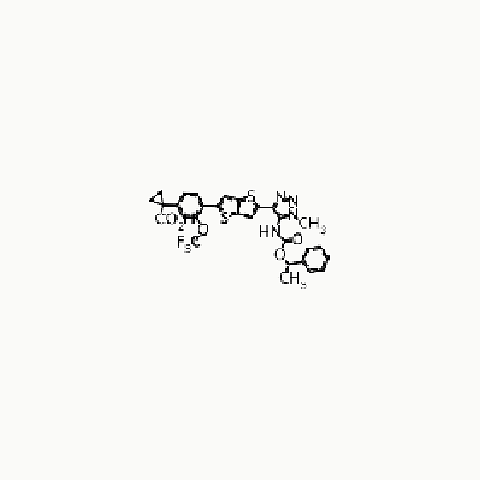 C[C@@H](OC(=O)Nc1c(-c2cc3sc(-c4ccc(C5(C(=O)O)CC5)cc4OC(F)(F)F)cc3s2)nnn1C)c1ccccc1